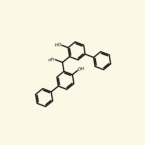 CCCC(c1cc(-c2ccccc2)ccc1O)c1cc(-c2ccccc2)ccc1O